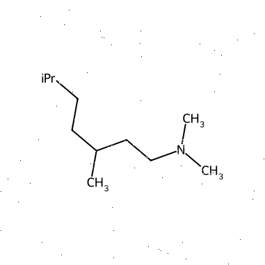 CC(C)CCC(C)CCN(C)C